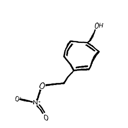 O=[N+]([O-])OCc1ccc(O)cc1